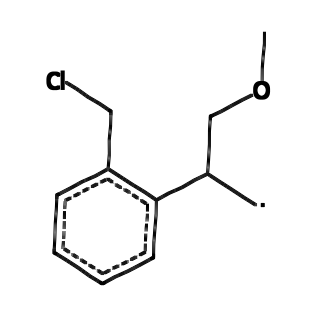 [CH2]C(COC)c1ccccc1CCl